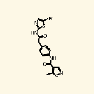 Cc1oncc1C(=O)Nc1ccc(CC(=O)Nc2ncc(C(C)C)s2)cc1